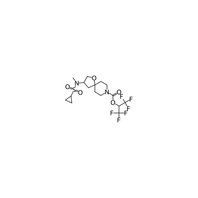 CN(C1COC2(CCN(C(=O)OC(C(F)(F)F)C(F)(F)F)CC2)C1)S(=O)(=O)C1CC1